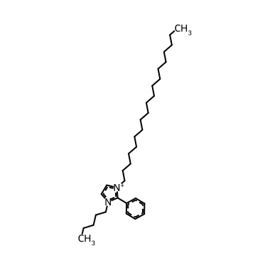 CCCCCCCCCCCCCCCCCCC[n+]1ccn(CCCCC)c1-c1ccccc1